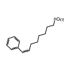 CCCCCCCCCCCCCC/C=[C]\c1ccccc1